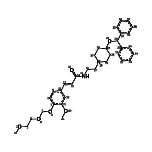 COCCOCOc1ccc(C=CC(=O)NCCN2CCC(OC(c3ccccc3)c3ccccc3)CC2)cc1OC